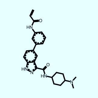 C=CC(=O)Nc1cccc(-c2ccc3[nH]nc(C(=O)NC4CCC(N(C)C)CC4)c3c2)c1